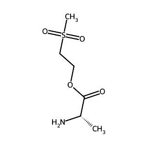 C[C@H](N)C(=O)OCCS(C)(=O)=O